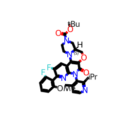 COc1cccc(F)c1-c1nc2c(cc1F)c1c(c(=O)n2-c2c(C)ccnc2C(C)C)OC[C@@H]2CN(C(=O)OC(C)(C)C)CCN12